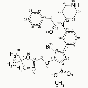 COC(=O)c1sc(-c2cccc(N(C(=O)Cc3ccccc3)C3CCNCC3)c2)c(Br)c1OCC(=O)OC(C)(C)C